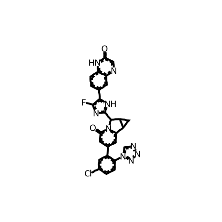 O=c1cnc2cc(-c3[nH]c(C4C5CC5c5cc(-c6cc(Cl)ccc6-n6cnnn6)cc(=O)n54)nc3F)ccc2[nH]1